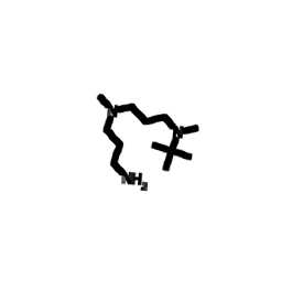 CN(CCCN)CCCN(C)C(C)(C)C